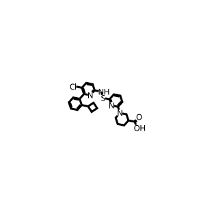 O=C(O)C1CCCN(c2cccc(SNc3ccc(Cl)c(-c4ccccc4C4CCC4)n3)n2)C1